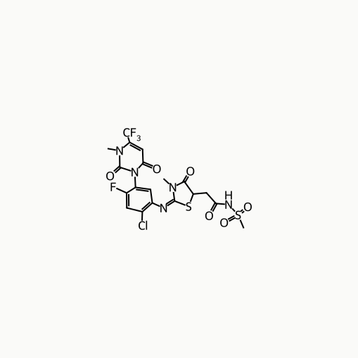 CN1C(=O)C(CC(=O)NS(C)(=O)=O)SC1=Nc1cc(-n2c(=O)cc(C(F)(F)F)n(C)c2=O)c(F)cc1Cl